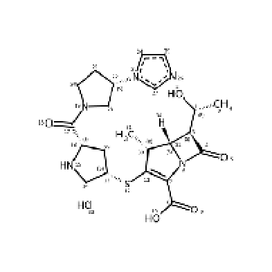 C[C@@H](O)[C@H]1C(=O)N2C(C(=O)O)=C(S[C@@H]3CN[C@H](C(=O)N4CC[C@H](n5ccnc5)C4)C3)[C@H](C)[C@H]12.Cl